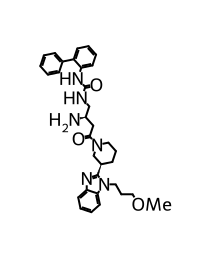 COCCCn1c([C@@H]2CCCN(C(=O)C[C@@H](N)CNC(=O)Nc3ccccc3-c3ccccc3)C2)nc2ccccc21